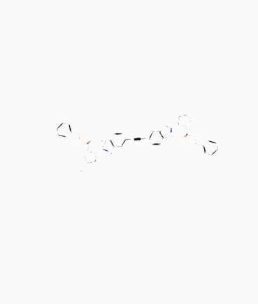 CCO[C@@H]1C[C@@H](c2nc3cc(C#Cc4ccc5nc([C@@H]6C[C@@H](OCC)CN6C(=O)OCc6ccccc6)[nH]c5c4)ccc3[nH]2)N(C(=O)OCc2ccccc2)C1